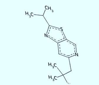 CC(C)c1nc2cc(CC(C)(C)C)ncc2s1